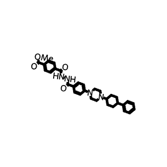 COC(=O)c1ccc(C(=O)NNC(=O)c2ccc(N3CCN(C4CCC(c5ccccc5)CC4)CC3)cc2)cc1